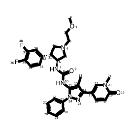 COCCN1C[C@@H](NC(=O)Nc2c(C)c(-c3ccc(=O)n(C)c3)nn2-c2ccccc2)[C@H](c2ccc(F)c(F)c2)C1